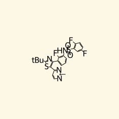 Cc1nccc(-c2sc(C(C)(C)C)nc2-c2cccc(NS(=O)(=O)c3cc(F)ccc3F)c2F)n1